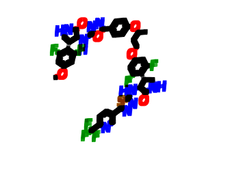 COc1cc(F)c([C@@H]2CNC(=O)[C@H]2Nc2nnc(-c3ccc(OC(C)CCOc4cc(F)c([C@@H]5CNC(=O)[C@H]5Nc5nnc(-c6ccc(C(F)(F)F)nc6)s5)c(F)c4)cc3)o2)c(F)c1